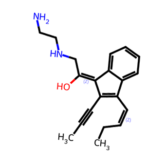 CC#CC1=C(/C=C\CC)c2ccccc2/C1=C(/O)CNCCN